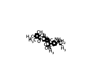 CCN(N)c1ccc(C(c2ccc3c(c2)CN(C(=O)c2c(C)c(C)cc(C)c2C)CC3)C(C)C(=O)O)c(C)c1N